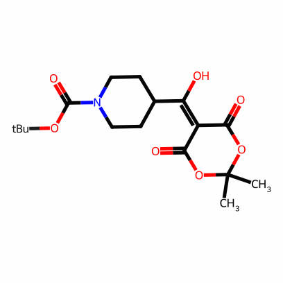 CC(C)(C)OC(=O)N1CCC(C(O)=C2C(=O)OC(C)(C)OC2=O)CC1